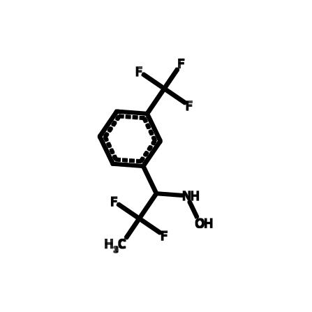 CC(F)(F)C(NO)c1cccc(C(F)(F)F)c1